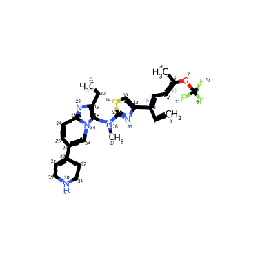 C=C/C(=C\C=C(/C)OC(F)(F)F)c1csc(N(C)c2c(CC)nc3ccc(C4=CCNCC4)cn23)n1